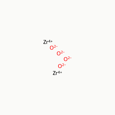 [O-2].[O-2].[O-2].[O-2].[Zr+4].[Zr+4]